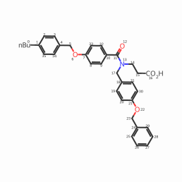 CCCCc1ccc(COc2ccc(C(=O)N(CCC(=O)O)Cc3ccc(OCc4ccccc4)cc3)cc2)cc1